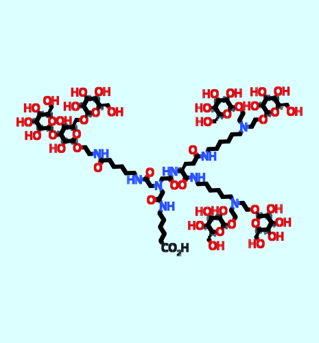 O=C(O)CCCCCNC(=O)CN(CC(=O)NCCCCCC(=O)NCCO[C@@H]1O[C@H](CO[C@H]2O[C@H](CO)[C@@H](O)[C@H](O)[C@@H]2O)[C@@H](O)[C@H](O[C@H]2O[C@H](CO)[C@@H](O)[C@H](O)[C@@H]2O)[C@@H]1O)CC(=O)N[C@@H](CCC(=O)NCCCCCCN(CCO[C@H]1O[C@H](CO)[C@@H](O)[C@H](O)[C@@H]1O)CCO[C@H]1O[C@H](CO)[C@@H](O)[C@H](O)[C@@H]1O)C(=O)NCCCCCCN(CCO[C@H]1O[C@H](CO)[C@@H](O)[C@H](O)[C@@H]1O)CCO[C@H]1O[C@H](CO)[C@@H](O)[C@H](O)[C@@H]1O